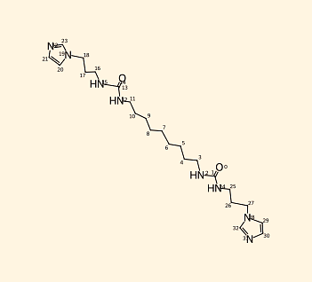 O=C(NCCCCCCCCCNC(=O)NCCCn1ccnc1)NCCCn1ccnc1